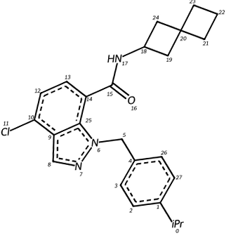 CC(C)c1ccc(Cn2ncc3c(Cl)ccc(C(=O)NC4CC5(CCC5)C4)c32)cc1